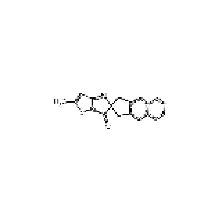 CC1=CC2=NC3(Cc4cc5ccccc5cc4C3)C(=O)N2S1